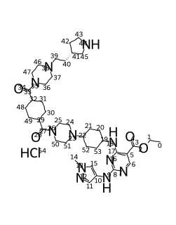 CCOC(=O)c1cnc(Nc2cnn(C)c2)nc1NC1CCC(N2CCN(C(=O)C3CCC(C(=O)N4CCN(CC[C@@H]5CCNC5)CC4)CC3)CC2)CC1.Cl